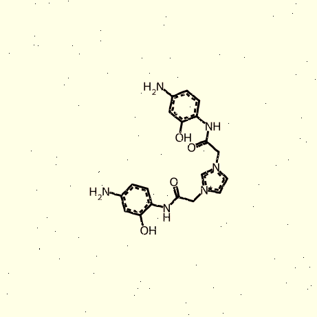 Nc1ccc(NC(=O)Cn2cc[n+](CC(=O)Nc3ccc(N)cc3O)c2)c(O)c1